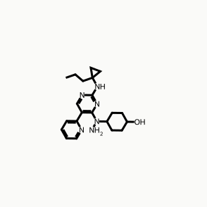 CCCC1(Nc2ncc(-c3ccccn3)c(N(N)C3CCC(O)CC3)n2)CC1